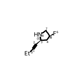 CCC#C[C@@H]1C[C@H](F)CN1